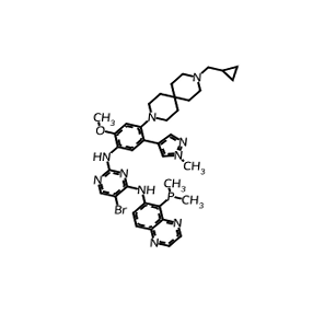 COc1cc(N2CCC3(CCN(CC4CC4)CC3)CC2)c(-c2cnn(C)c2)cc1Nc1ncc(Br)c(Nc2ccc3nccnc3c2P(C)C)n1